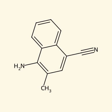 Cc1cc(C#N)c2ccccc2c1N